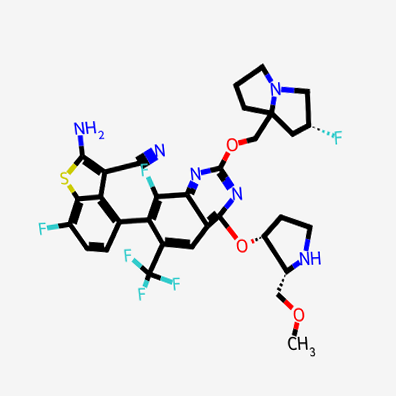 COC[C@H]1NCC[C@H]1Oc1nc(OCC23CCCN2C[C@H](F)C3)nc2c(F)c(-c3ccc(F)c4sc(N)c(C#N)c34)c(C(F)(F)F)cc12